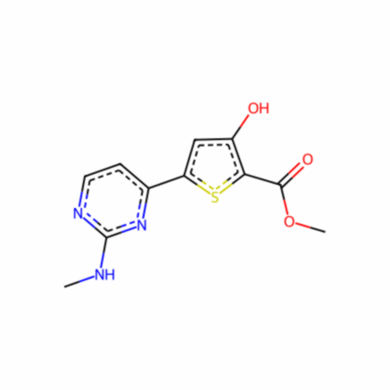 CNc1nccc(-c2cc(O)c(C(=O)OC)s2)n1